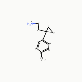 Cc1ccc(C2(CCN)CC2)cc1